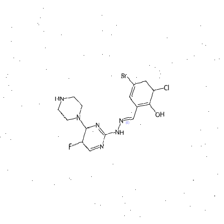 OC1=C(/C=N/NC2=NC(N3CCNCC3)C(F)C=N2)C=C(Br)CC1Cl